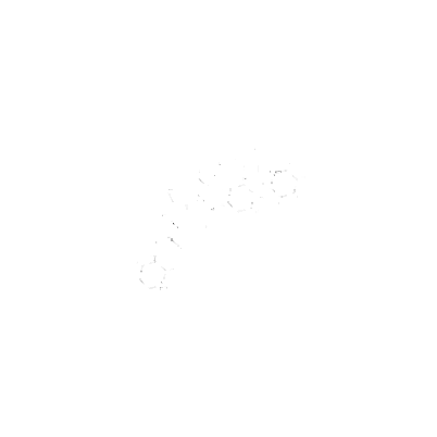 CC(C)CC(C(=O)N1CCC2C1C(=O)CN2C(=O)Cc1cccnc1)c1cccc(-c2ccccn2)c1